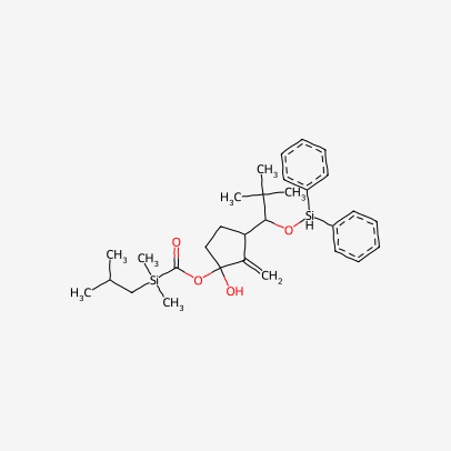 C=C1C(C(O[SiH](c2ccccc2)c2ccccc2)C(C)(C)C)CCC1(O)OC(=O)[Si](C)(C)CC(C)C